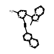 Cc1nc2ccccn2c1-c1ccc(N)nc1C#Cc1ccc2ncccc2c1